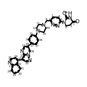 O=C1CCN(c2ccc(CN3CCN(c4ccc(-c5cnc6c(-c7ccnc8ccccc78)cnn6c5)cc4)CC3)nn2)C(=O)N1